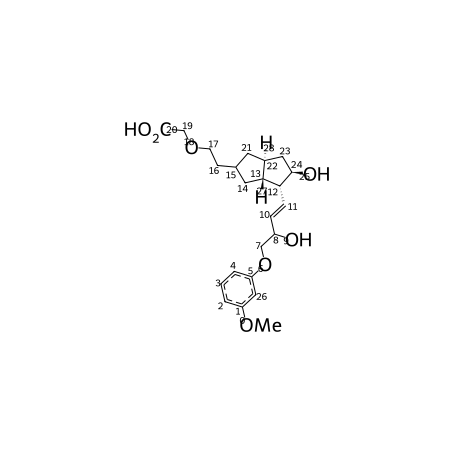 COc1cccc(OCC(O)C=C[C@@H]2[C@@H]3CC(CCOCC(=O)O)C[C@H]3C[C@H]2O)c1